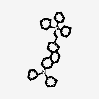 C(=C\[Si](c1ccccc1)(c1ccccc1)c1ccccc1)/c1ccc2c(ccc3cc(N(c4ccccc4)c4ccccc4)ccc32)c1